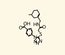 CC1CCC=C(CNC(=O)CSc2nnnn2-c2ccc(C(=O)O)cc2)C1